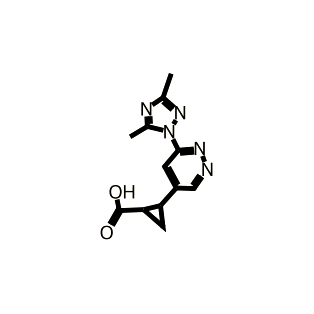 Cc1nc(C)n(-c2cc(C3CC3C(=O)O)cnn2)n1